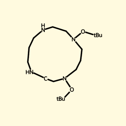 CC(C)(C)ON1CCCN(OC(C)(C)C)CCNCCCNCC1